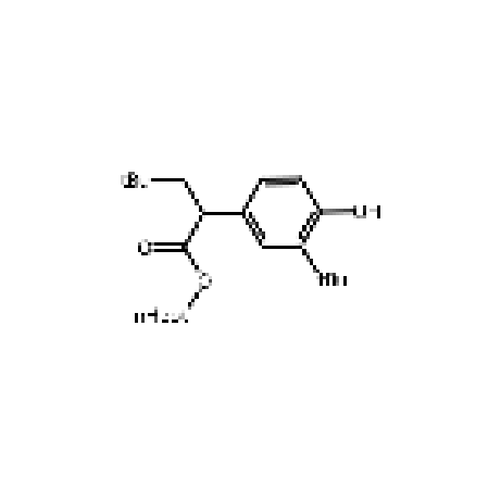 CCCCCCCOC(=O)C(CC(C)(C)C)c1ccc(O)c(C(C)(C)C)c1